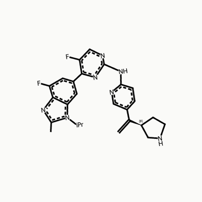 C=C(c1ccc(Nc2ncc(F)c(-c3cc(F)c4nc(C)n(C(C)C)c4c3)n2)nc1)[C@H]1CCNC1